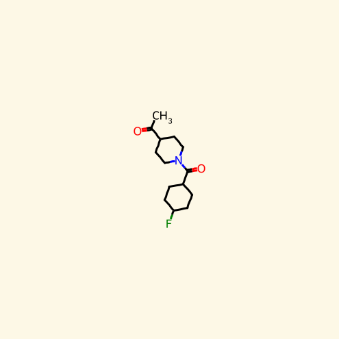 CC(=O)C1CCN(C(=O)C2CCC(F)CC2)CC1